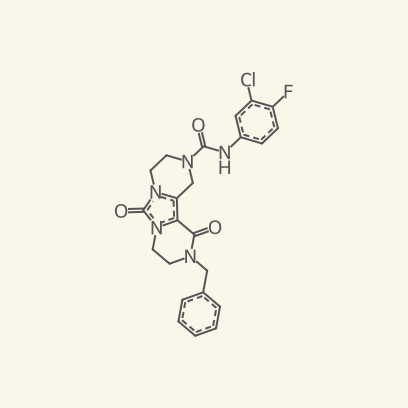 O=C(Nc1ccc(F)c(Cl)c1)N1CCn2c(c3n(c2=O)CCN(Cc2ccccc2)C3=O)C1